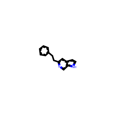 c1ccc(CCc2cc3cc[nH]c3cn2)cc1